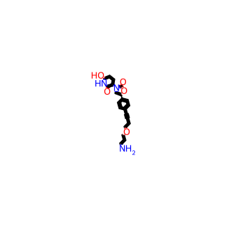 NCCCOCCC#Cc1ccc([C@H]2CN(C3CCC(O)NC3=O)C(=O)O2)cc1